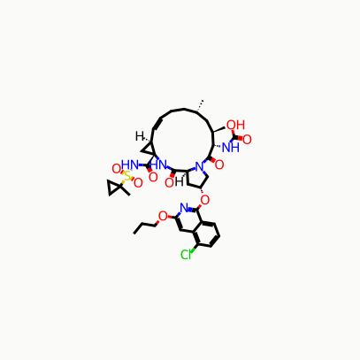 CCCOc1cc2c(Cl)cccc2c(O[C@@H]2C[C@H]3C(=O)N[C@]4(C(=O)NS(=O)(=O)C5(C)CC5)C[C@H]4/C=C\CC[C@H](C)C[C@@H](C)[C@H](NC(=O)O)C(=O)N3C2)n1